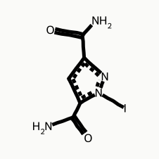 NC(=O)c1cc(C(N)=O)n(I)n1